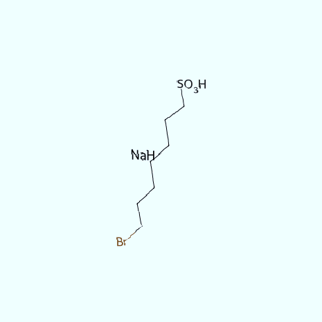 O=S(=O)(O)CCCCCCCBr.[NaH]